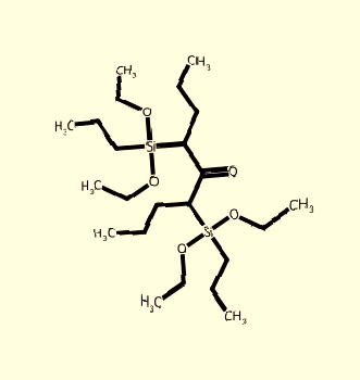 CCCC(C(=O)C(CCC)[Si](CCC)(OCC)OCC)[Si](CCC)(OCC)OCC